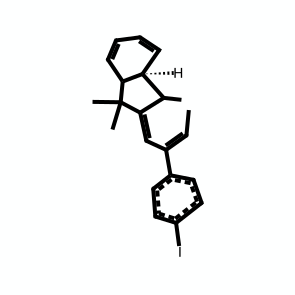 C/C=C(\C=C1/C(C)[C@@H]2C=CC=CC2C1(C)C)c1ccc(I)cc1